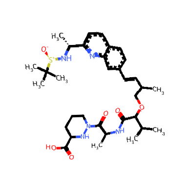 CC(/C=C/c1ccc2ccc([C@@H](C)N[S@+]([O-])C(C)(C)C)nc2c1)COC(C(=O)NC(C)C(=O)N1CCCC(C(=O)O)N1)C(C)C